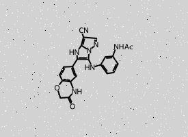 CC(=O)Nc1cccc(Nc2c(-c3ccc4c(c3)NC(=O)CO4)[nH]c3c(C#N)cnn23)c1